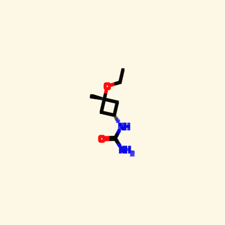 CCO[C@]1(C)C[C@H](NC(N)=O)C1